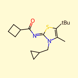 Cc1c(C(C)(C)C)s/c(=N\C(=O)C2CCC2)n1CC1CC1